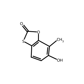 Cc1c(O)ccc2sc(=O)oc12